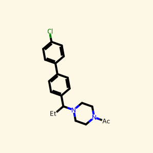 CCC(c1ccc(-c2ccc(Cl)cc2)cc1)N1CCN(C(C)=O)CC1